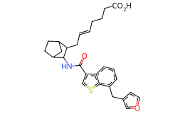 O=C(O)CCC/C=C/CC1C2CCC(C2)C1NC(=O)c1csc2c(Cc3ccoc3)cccc12